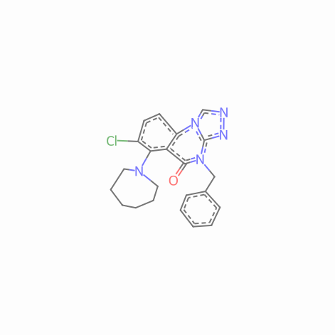 O=c1c2c(N3CCCCCC3)c(Cl)ccc2n2cnnc2n1Cc1ccccc1